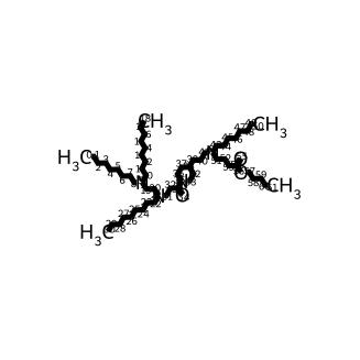 CCCCCCCCCN(CCCCCCCCC)CCN(CCCCCCCCC)CCC(=O)N1CCC(CCCN(CCCCCCCC)CCCC(=O)OCCCCC)CC1